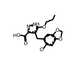 CCCOc1[nH]nc(C(=O)O)c1Cc1cc2c(cc1Cl)OCO2